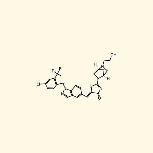 O=C1N=C(N2C[C@@H]3C[C@H]2CN3CCO)S/C1=C\c1ccc2c(cnn2Cc2ccc(Cl)cc2C(F)(F)F)c1